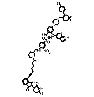 CC1(C)CCC(CN2CCN(c3ccc(C(=O)NS(=O)(=O)c4ccc(NCC5CCCN(C(=O)CCCCC#Cc6cccc7c6C(=O)N(C6CCC(=O)NC6=O)C7=O)C5)c([N+](=O)[O-])c4)c(Oc4cnc5[nH]ccc5c4)c3)CC2)=C(c2ccc(Cl)cc2)C1